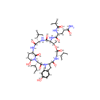 CCC(C)[C@@H]1NC(=O)C(Cc2ccc(O)cc2)N(C)C(=O)[C@H](C(C)CC)N2C(=O)C(CC[C@@H]2O)NC(=O)[C@H](CC(C)C)NC(=O)[C@@H](NC(=O)[C@H](CCC(N)=O)NC(=O)C(C)C)[C@@H](C)OC1=O